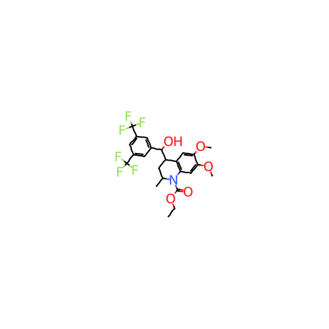 CCOC(=O)N1c2cc(OC)c(OC)cc2C([C@H](O)c2cc(C(F)(F)F)cc(C(F)(F)F)c2)CC1C